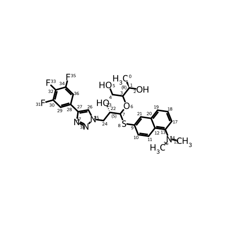 C[C@@H](O)C(CO)OC(Sc1ccc2c(N(C)C)cccc2c1)[C@@H](O)Cn1cc(-c2cc(F)c(F)c(F)c2)nn1